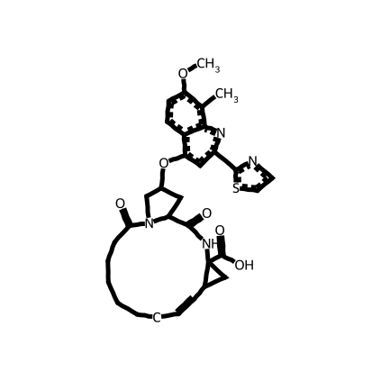 COc1ccc2c(OC3CC4C(=O)NC5(C(=O)O)CC5/C=C\CCCCCCC(=O)N4C3)cc(-c3nccs3)nc2c1C